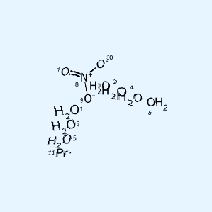 O.O.O.O.O.O.O.O=[N+]([O-])[O-].[Pr]